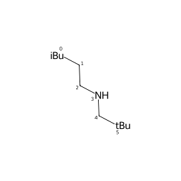 CCC(C)CCNCC(C)(C)C